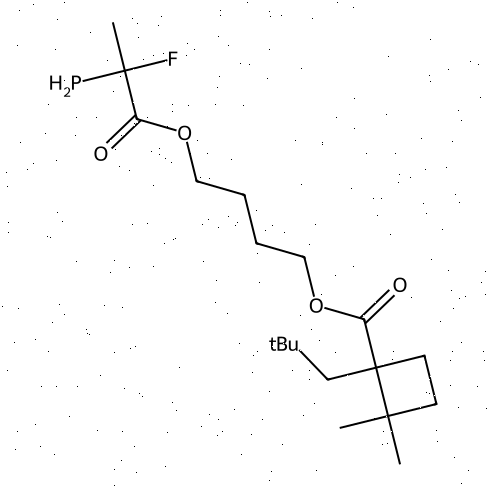 CC(C)(C)CC1(C(=O)OCCCCOC(=O)C(C)(F)P)CCC1(C)C